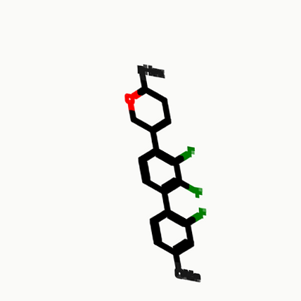 CCCCCCC1CCC(c2ccc(-c3ccc(OC)cc3F)c(F)c2F)CO1